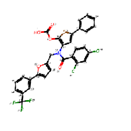 O=C(O)Oc1sc(-c2ccccc2)cc1N(Cc1ccc(-c2cccc(C(F)(F)F)c2)o1)C(=O)c1ccc(Cl)cc1Cl